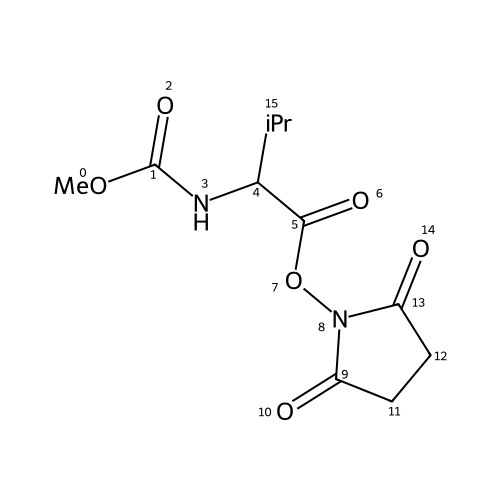 COC(=O)NC(C(=O)ON1C(=O)CCC1=O)C(C)C